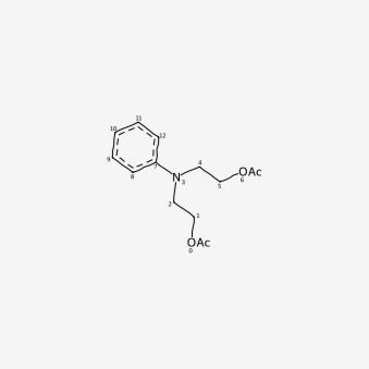 CC(=O)OCCN(CCOC(C)=O)c1ccccc1